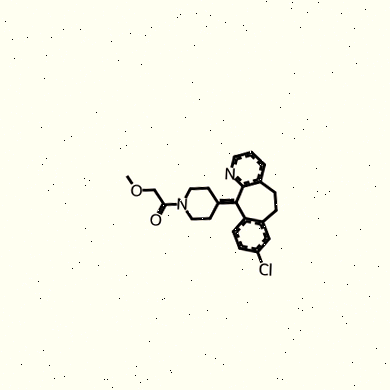 COCC(=O)N1CCC(=C2c3ccc(Cl)cc3CCc3cccnc32)CC1